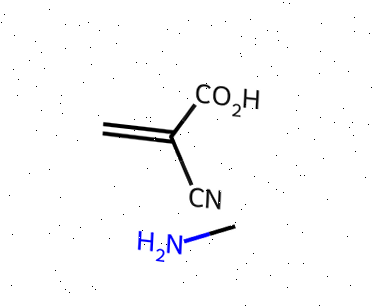 C=C(C#N)C(=O)O.CN